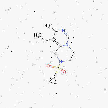 CCC1=C2CN(S(=O)(=O)C3CC3)CCN2C=NC1C